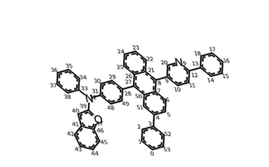 c1ccc(-c2ccc3c(-c4ccc(-c5ccccc5)nc4)c4ccccc4c(-c4ccc(N(c5ccccc5)c5cc6ccccc6o5)cc4)c3c2)cc1